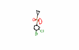 O=S(=O)(c1ccc(Br)c(Cl)c1)C1CC1